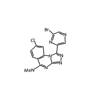 CNc1nc2nnc(-c3cncc(Br)n3)n2c2cc(Cl)ccc12